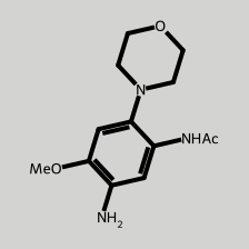 COc1cc(N2CCOCC2)c(NC(C)=O)cc1N